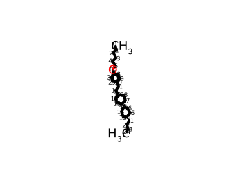 CCCCCCOc1ccc(CCC2=CCC([C@H]3CC[C@H](CCCC)CC3)CC2)cc1